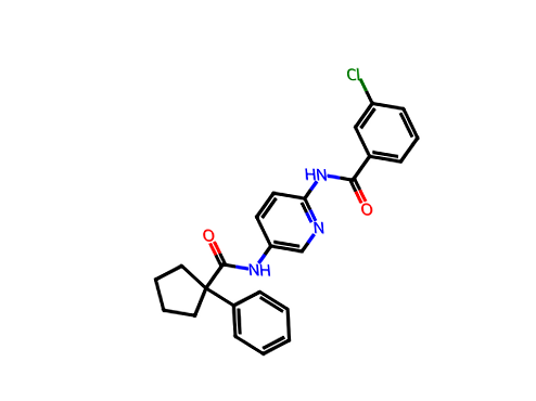 O=C(Nc1ccc(NC(=O)C2(c3ccccc3)CCCC2)cn1)c1cccc(Cl)c1